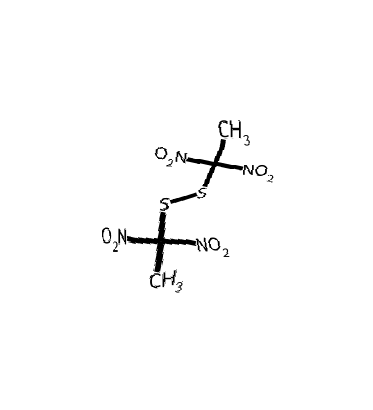 CC(SSC(C)([N+](=O)[O-])[N+](=O)[O-])([N+](=O)[O-])[N+](=O)[O-]